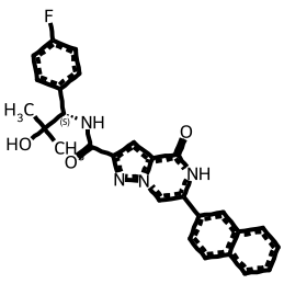 CC(C)(O)[C@@H](NC(=O)c1cc2c(=O)[nH]c(-c3ccc4ccccc4c3)cn2n1)c1ccc(F)cc1